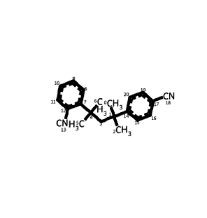 CC(C)(CC(C)(C)c1ccccc1C#N)c1ccc(C#N)cc1